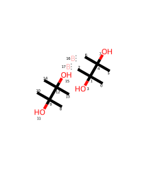 CC(C)(O)C(C)(C)O.CC(C)(O)C(C)(C)O.[B].[B]